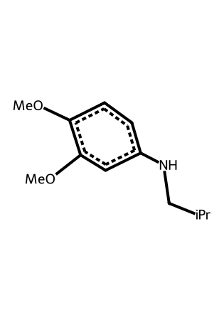 COc1ccc(NCC(C)C)cc1OC